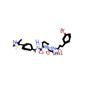 Cc1ncsc1-c1ccc([C@H](C)NC(=O)[C@@H]2CCCN2C(=O)C(NC(=O)CCc2cccc(Br)c2)C(C)(C)C)cc1